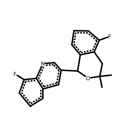 CC1(C)Cc2c(F)cccc2C(c2cnc3c(F)cccc3c2)O1